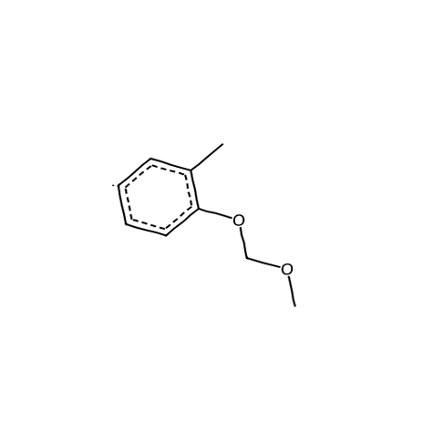 COCOc1cc[c]cc1C